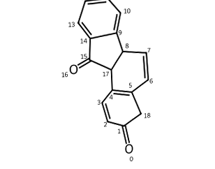 O=C1C=CC2=C(C=CC3c4ccccc4C(=O)C23)C1